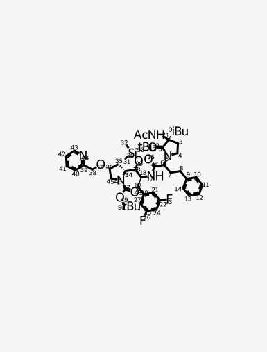 CC[C@@H](C)C1(NC(C)=O)CCN(C(CCc2ccccc2)C(=O)N[C@@H](Cc2cc(F)cc(F)c2)[C@H](O[Si](C)(C)C(C)(C)C)[C@H]2C[C@@H](OCc3ccccn3)CN2C(=O)OC(C)(C)C)C1=O